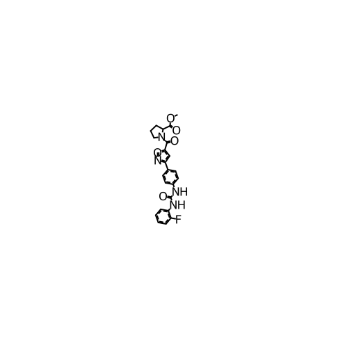 COC(=O)C1CCCN1C(=O)c1cc(-c2ccc(NC(=O)Nc3ccccc3F)cc2)no1